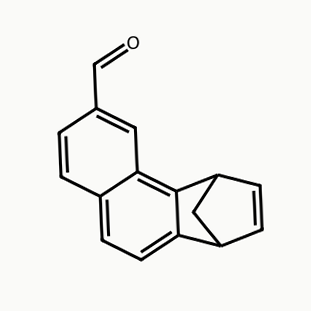 O=Cc1ccc2ccc3c(c2c1)C1C=CC3C1